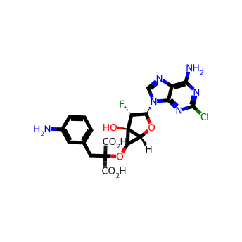 Nc1cccc(CC(OC2[C@H]3O[C@@H](n4cnc5c(N)nc(Cl)nc54)[C@@H](F)[C@@]23O)(C(=O)O)C(=O)O)c1